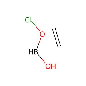 C=C.OBOCl